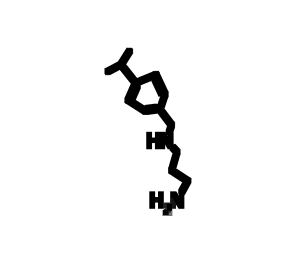 CC(C)c1ccc(CNCCCN)cc1